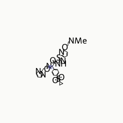 CNCCOc1ccc2nc(NC(=O)/C(=N/OCc3ncccn3)c3ccc(S(=O)(=O)C4CC4)cc3)sc2n1